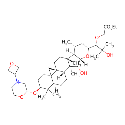 CCOC(=O)CO[C@@H]([C@H]1C[C@@H](C)[C@H]2[C@H](O1)[C@H](O)[C@@]1(C)[C@@H]3CC[C@H]4C(C)(C)[C@@H](O[C@H]5CN(C6COC6)CCO5)CC[C@@]45C[C@@]35CC[C@]21C)C(C)(C)O